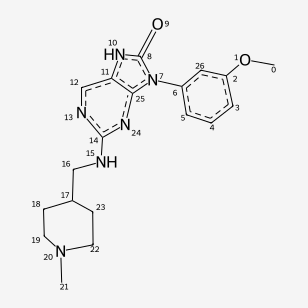 COc1cccc(-n2c(=O)[nH]c3cnc(NCC4CCN(C)CC4)nc32)c1